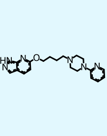 c1ccc(N2CCN(CCCCOc3ccc4cn[nH]c4n3)CC2)nc1